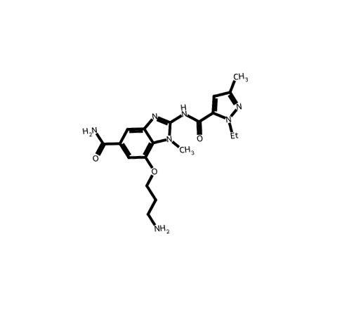 CCn1nc(C)cc1C(=O)Nc1nc2cc(C(N)=O)cc(OCCCN)c2n1C